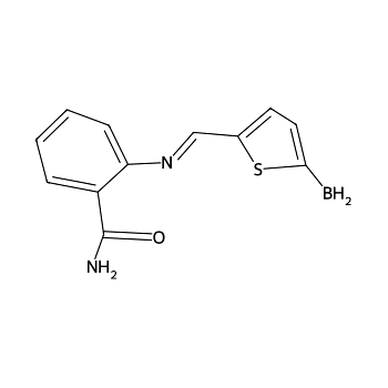 Bc1ccc(/C=N/c2ccccc2C(N)=O)s1